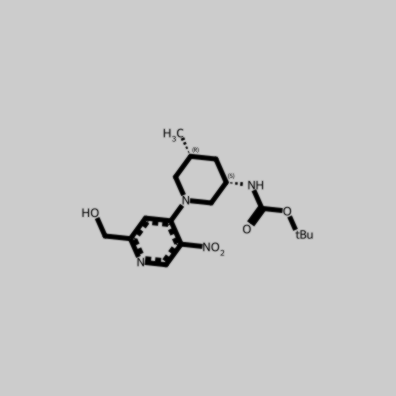 C[C@@H]1C[C@H](NC(=O)OC(C)(C)C)CN(c2cc(CO)ncc2[N+](=O)[O-])C1